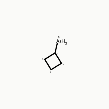 [AsH2]C1CCC1